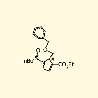 CCCC[S@+]([O-])N1CC=C(C(=O)OCC)[C@@H]1COCc1ccccc1